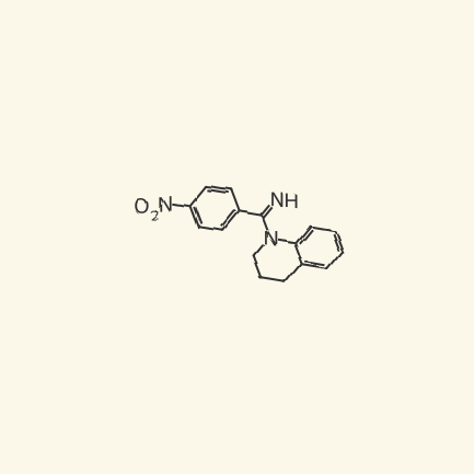 N=C(c1ccc([N+](=O)[O-])cc1)N1CCCc2ccccc21